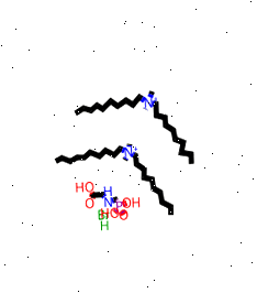 Br.CCCCCCCCCC[N+](C)(C)CCCCCCCCCC.CCCCCCCCCC[N+](C)(C)CCCCCCCCCC.O=C(O)CNCP(=O)(O)O